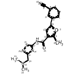 Cc1oc(-c2cccc(C#N)c2)cc1C(=O)Nc1nc(CN(C)C)ns1